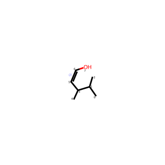 CC(C)C(C)/C=C\O